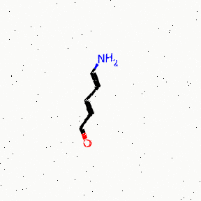 NC=CC=CC=O